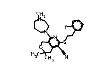 CN1CCCN(c2nc(SCCc3ccccc3F)c(C#N)c3c2COC(C)(C)C3)CC1